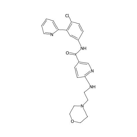 O=C(Nc1ccc(Cl)c(-c2ccccn2)c1)c1ccc(NCCN2CCOCC2)nc1